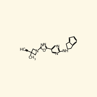 C#CC1(C)CN(c2nnc(-c3cnc(NC4Cc5ccccc5C4)nc3)o2)C1